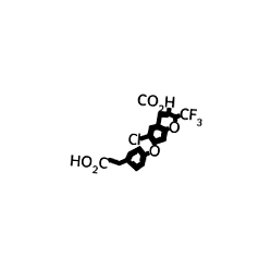 O=C(O)CCc1ccc(Oc2cc3c(cc2Cl)C=C(C(=O)O)C(C(F)(F)F)O3)cc1